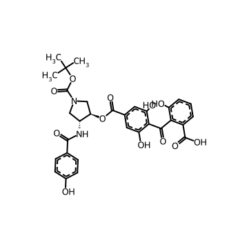 CC(C)(C)OC(=O)N1C[C@@H](NC(=O)c2ccc(O)cc2)[C@H](OC(=O)c2cc(O)c(C(=O)c3c(O)cccc3C(=O)O)c(O)c2)C1